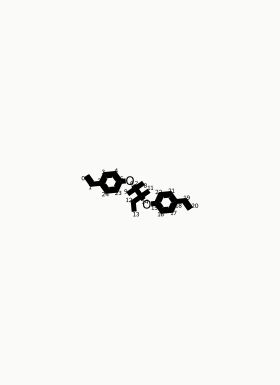 C=Cc1ccc(OC(C)(C)C(C)(CC)Oc2ccc(C=C)cc2)cc1